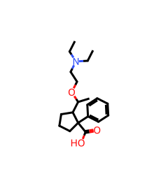 CCN(CC)CCOC(C)C1CCCC1(C(=O)O)c1ccccc1